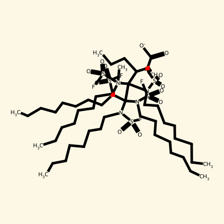 C=C(C(=O)[O-])C(CCC)C(N(CCCCCCCC)S(=O)(=O)F)(C(N(CCCCCCCC)S(=O)(=O)F)(N(CCCCCCCC)S(=O)(=O)F)N(CCCCCCCC)S(=O)(=O)F)[N+](C)(CCCCCCCC)S(=O)(=O)F